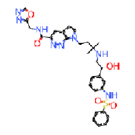 CC(C)(CCn1ccc2cc(C(=O)NCc3nnco3)nnc21)NC[C@H](O)c1cccc(NS(=O)(=O)c2ccccc2)c1